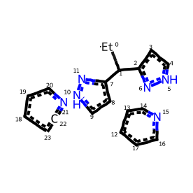 C[CH]C(c1cc[nH]n1)c1cc[nH]n1.c1ccncc1.c1ccncc1